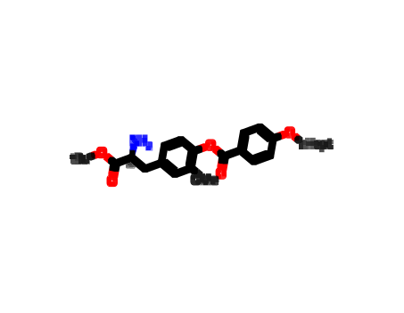 CCCCCCCOc1ccc(C(=O)Oc2ccc(C[C@H](N)C(=O)OC(C)(C)C)cc2OC)cc1